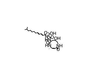 CC(C)CCCCC/C=C/C=C/C(=O)N[C@H](C(=O)N[C@H]1C[C@@H](O)CCNC(=O)/C=C\[C@H](C)NC1=O)[C@@H](C)O